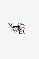 C=C(C)CC(C)(C)/C=C(\C)C(=O)CC